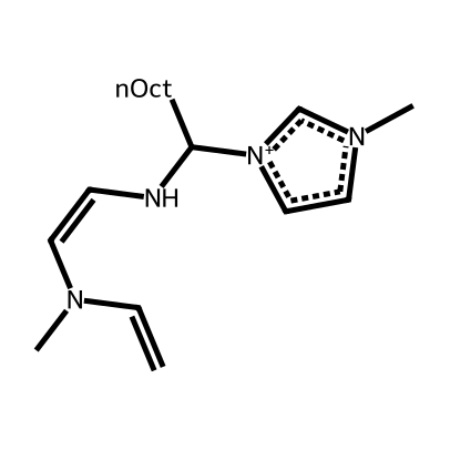 C=CN(C)/C=C\NC(CCCCCCCC)[n+]1ccn(C)c1